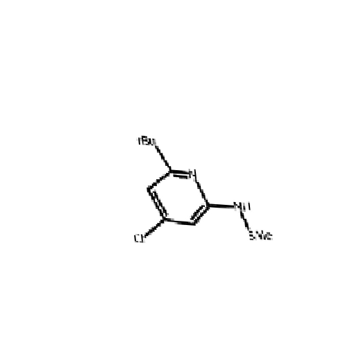 CSNc1cc(Cl)cc(C(C)(C)C)n1